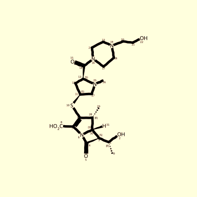 C[C@@H](O)[C@H]1C(=O)N2C(C(=O)O)=C(S[C@H]3C[C@@H](C(=O)N4CCN(CCO)CC4)N(C)C3)[C@H](C)[C@H]12